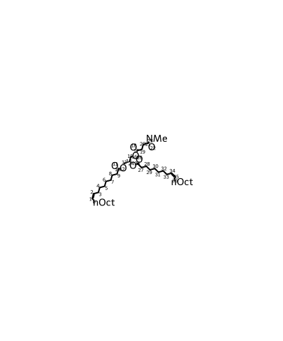 CCCCCCCC/C=C\CCCCCCCC(=O)OC[C@@H](COC(=O)CCC(=O)NC)OC(=O)CCCCCCC/C=C\CCCCCCCC